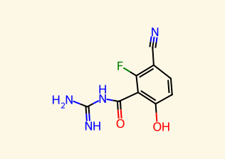 N#Cc1ccc(O)c(C(=O)NC(=N)N)c1F